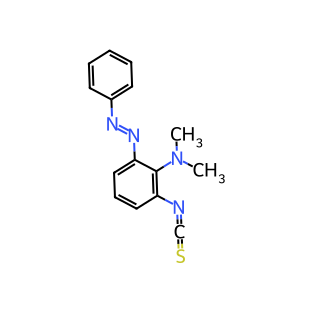 CN(C)c1c(N=C=S)cccc1N=Nc1ccccc1